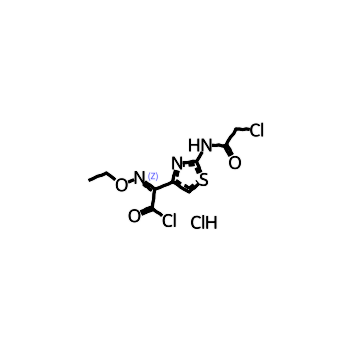 CCO/N=C(\C(=O)Cl)c1csc(NC(=O)CCl)n1.Cl